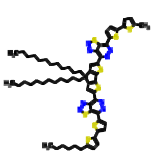 CCCCCCCCCCCC[Si]1(CCCCCCCCCCCC)c2cc(-c3nnc(-c4ccc(-c5ccc(C)s5)s4)c4snnc34)sc2-c2sc(-c3nnc(-c4ccc(-c5ccc(CCCCCC)s5)s4)c4snnc34)cc21